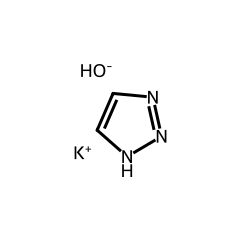 [K+].[OH-].c1c[nH]nn1